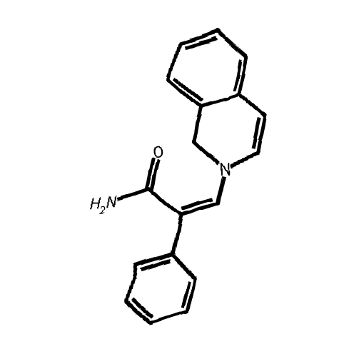 NC(=O)C(=CN1C=Cc2ccccc2C1)c1ccccc1